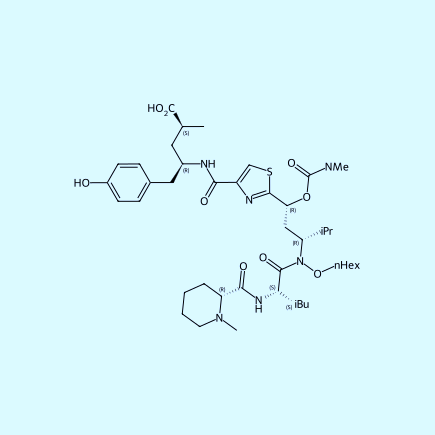 CCCCCCON(C(=O)[C@@H](NC(=O)[C@H]1CCCCN1C)[C@@H](C)CC)[C@H](C[C@@H](OC(=O)NC)c1nc(C(=O)N[C@@H](Cc2ccc(O)cc2)C[C@H](C)C(=O)O)cs1)C(C)C